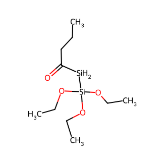 CCCC(=O)[SiH2][Si](OCC)(OCC)OCC